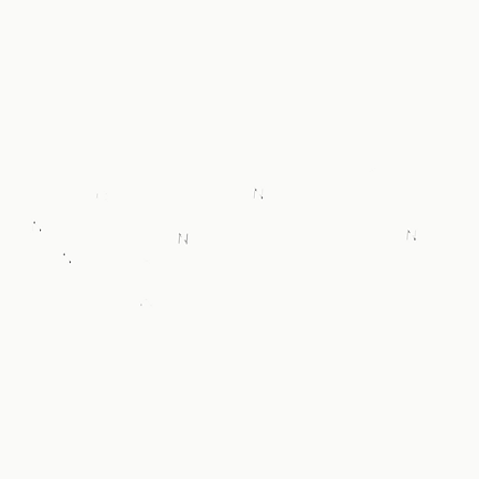 [CH2]c1nnc(C(=O)N2CCN(CC3CCN(C)CC3)CC2)o1